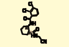 N#CCNC(=O)[C@@H]1CCCC[C@H]1NC(=O)c1cccc(Cl)c1Cl